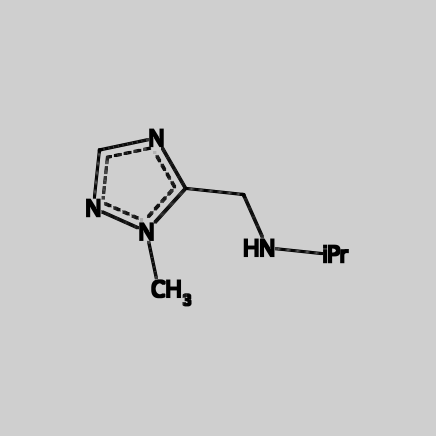 CC(C)NCc1ncnn1C